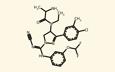 CCN(C(=O)C(C)N)C1CN(C(=NC#N)Nc2cccc(OC(F)F)c2)N=C1c1ccc(Cl)c(C)c1